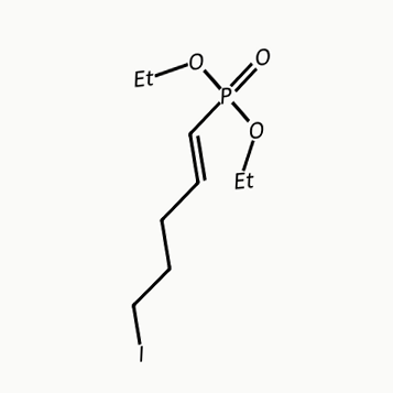 CCOP(=O)(C=CCCCI)OCC